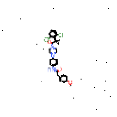 COc1ccc(CC(=O)Nc2ccc(N3CCN(C(=O)C4(c5c(Cl)cccc5Cl)CC4)CC3)cc2)cc1